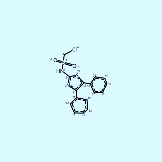 O=S(=O)(CCl)Nc1nc(-c2ccccc2)c(-c2ccccc2)s1